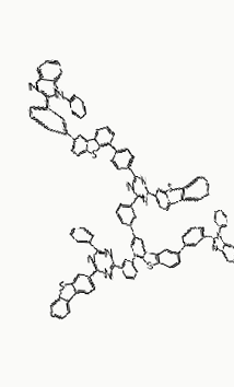 c1ccc(-c2nc(-c3cccc(-c4cc(-c5cccc(-c6nc(-c7ccc(-c8cccc9c8sc8ccc(-c%10cccc(-c%11nc%12ccccc%12n%11-c%11ccccc%11)c%10)cc89)cc7)nc(-c7ccc8c(c7)sc7ccccc78)n6)c5)cc5c4sc4ccc(-c6cccc(-c7nc8ccccc8n7-c7ccccc7)c6)cc45)c3)nc(-c3ccc4c(c3)sc3ccccc34)n2)cc1